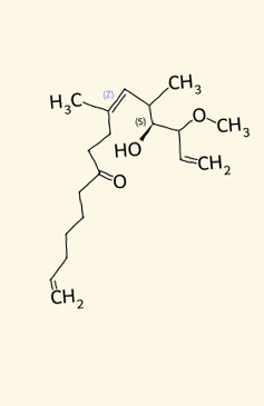 C=CCCCCC(=O)CC/C(C)=C\C(C)[C@H](O)C(C=C)OC